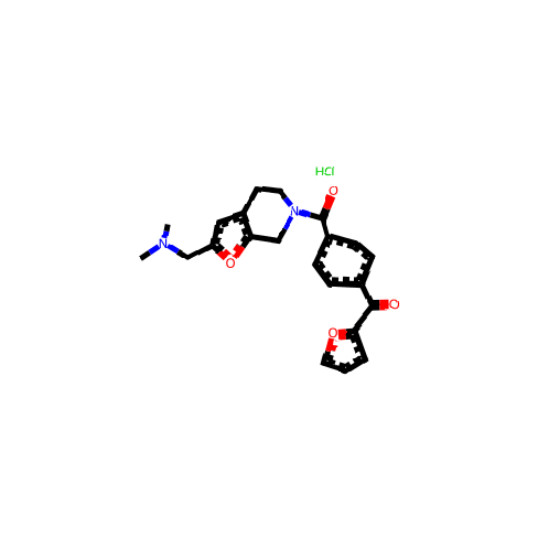 CN(C)Cc1cc2c(o1)CN(C(=O)c1ccc(C(=O)c3ccco3)cc1)CC2.Cl